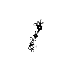 O=C1NC2(CO1)CN(C(=O)OC1CC(OCc3ccc(C(F)(F)F)c(Cl)c3)C1)C2